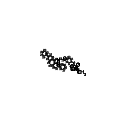 CCOC(=O)C(Cc1ccc(OCCNCC2c3ccc(-c4ccccc4)cc3CCc3ccc(-c4ccccc4)cc32)cc1)OC